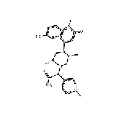 C[C@@H]1CN(c2cc(=O)n(C)c3ccc(C#N)nc23)[C@@H](C)CN1C(C(N)=O)c1ccc(F)cc1